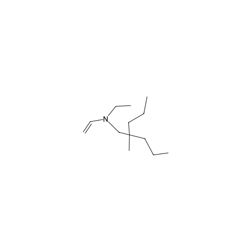 C=CN(CC)CC(C)(CCC)CCC